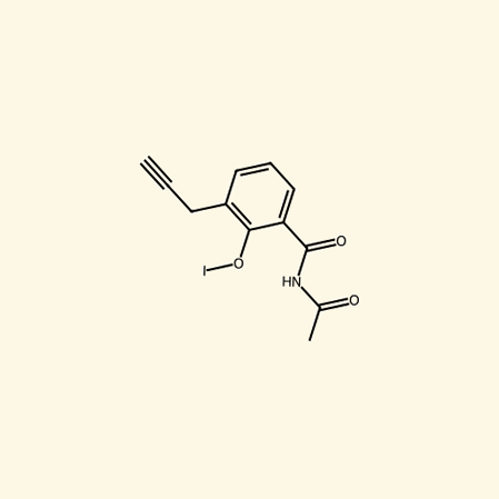 C#CCc1cccc(C(=O)NC(C)=O)c1OI